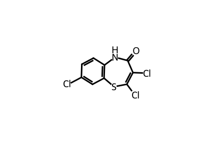 O=C1Nc2ccc(Cl)cc2SC(Cl)=C1Cl